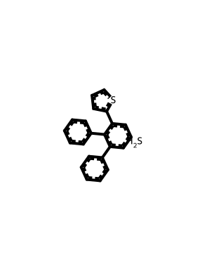 S.c1ccc(-c2cccc(-c3cccs3)c2-c2ccccc2)cc1